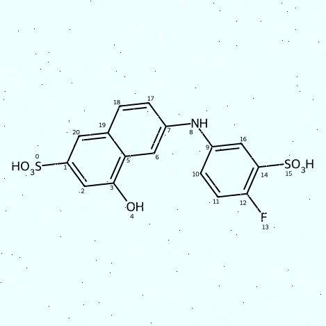 O=S(=O)(O)c1cc(O)c2cc(Nc3ccc(F)c(S(=O)(=O)O)c3)ccc2c1